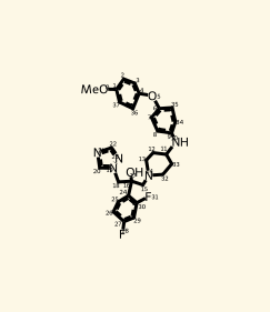 COc1ccc(Oc2ccc(NC3CCN(CC(O)(Cn4cncn4)c4ccc(F)cc4F)CC3)cc2)cc1